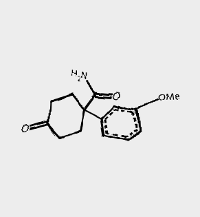 COc1cccc(C2(C(N)=O)CCC(=O)CC2)c1